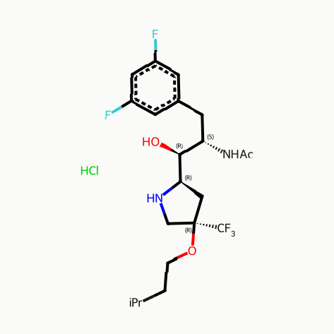 CC(=O)N[C@@H](Cc1cc(F)cc(F)c1)[C@H](O)[C@H]1C[C@](OCCC(C)C)(C(F)(F)F)CN1.Cl